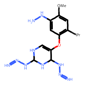 COc1cc(C(C)C)c(OC2=CNC(NN=N)NC2NN=N)cc1NN